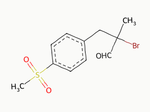 CC(Br)(C=O)Cc1ccc(S(C)(=O)=O)cc1